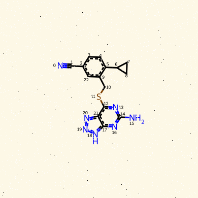 N#Cc1ccc(C2CC2)c(CSc2nc(N)nc3[nH]nnc23)c1